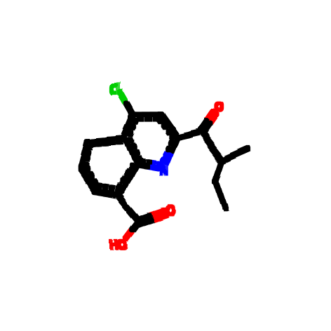 CCC(C)C(=O)c1cc(Cl)c2cccc(C(=O)O)c2n1